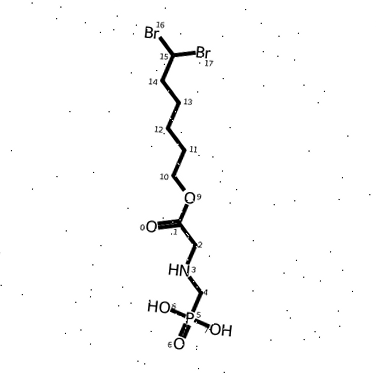 O=C(CNCP(=O)(O)O)OCCCCCC(Br)Br